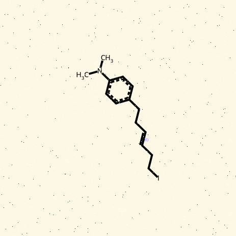 CN(C)c1ccc(CC/C=C/CCI)cc1